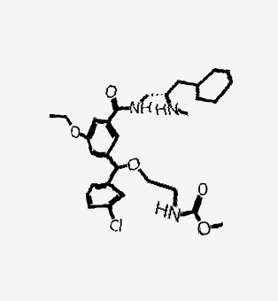 CCOc1cc(C(=O)NC[C@H](CC2CCCCC2)NC)cc(C(OCCNC(=O)OC)c2cccc(Cl)c2)c1